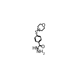 NNC(=O)c1ccc(SN2CCOCC2)cc1